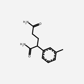 Cc1cccc(C(CCC(N)=O)C(N)=O)c1